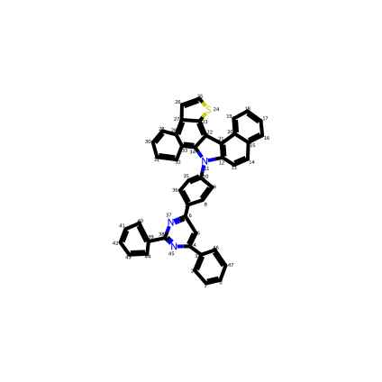 c1ccc(-c2cc(-c3ccc(-n4c5ccc6ccccc6c5c5c6sccc6c6ccccc6c54)cc3)nc(-c3ccccc3)n2)cc1